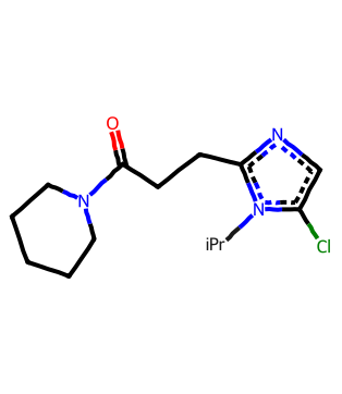 CC(C)n1c(Cl)cnc1CCC(=O)N1CCCCC1